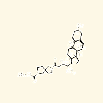 COC(=O)N1CCC2(CCN(C(=O)CC[C@@H](C)[C@H]3CC[C@H]4[C@@H]5CC=C6C[C@@H](O)CC[C@]6(C)[C@H]5CC[C@]34C)C2)C1